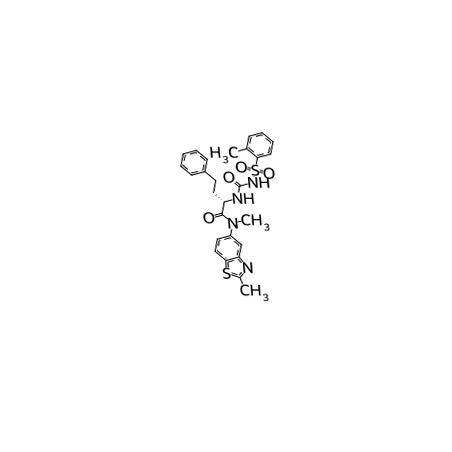 Cc1nc2cc(N(C)C(=O)[C@H](CCc3ccccc3)NC(=O)NS(=O)(=O)c3ccccc3C)ccc2s1